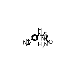 NC(=O)c1csc(Nc2ccc(-n3ccnc3)cc2)n1